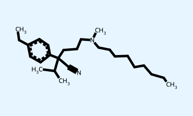 CCCCCCCCCN(C)CCCC(C#N)(c1ccc(CC)cc1)C(C)C